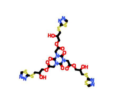 O=C(Cn1c(=O)n(CC(=O)OCC(O)CSc2nncs2)c(=O)n(CC(=O)OCC(O)CSc2nncs2)c1=O)OCC(O)CSc1nncs1